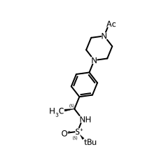 CC(=O)N1CCN(c2ccc([C@H](C)N[S@+]([O-])C(C)(C)C)cc2)CC1